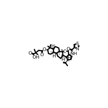 C=C(C)[C@@H]1CC[C@]2(NC(=O)c3cscn3)CC[C@]3(C)[C@H](CC[C@@H]4[C@@]5(C)CC[C@H](OC(=O)CC(C)(C)C(=O)O)C(C)(C)[C@@H]5CC[C@]43C)[C@@H]12